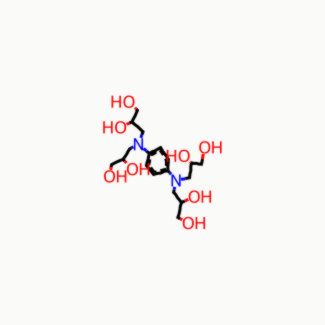 OCC(O)CN(CC(O)CO)c1ccc(N(CC(O)CO)CC(O)CO)cc1